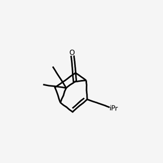 CC(C)C1=CC2CCC1C(=O)C2(C)C